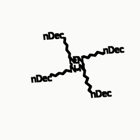 CCCCCCCCCCCCCCCCN1CN(CCCCCCCCCCCCCCCC)CN(CCCCCCCCCCCCCCCC)CN(CCCCCCCCCCCCCCCC)C1